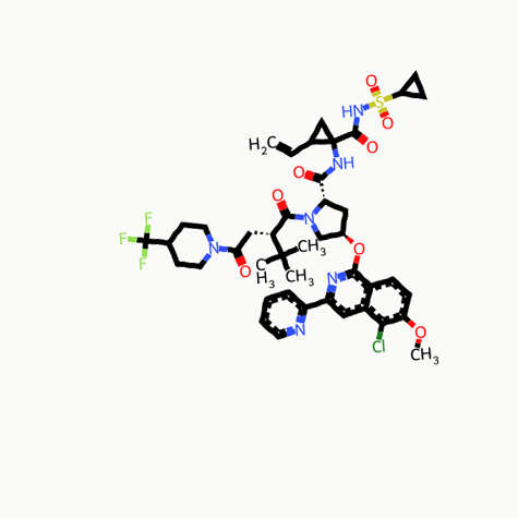 C=CC1CC1(NC(=O)[C@@H]1C[C@@H](Oc2nc(-c3ccccn3)cc3c(Cl)c(OC)ccc23)CN1C(=O)[C@@H](CC(=O)N1CCC(C(F)(F)F)CC1)C(C)(C)C)C(=O)NS(=O)(=O)C1CC1